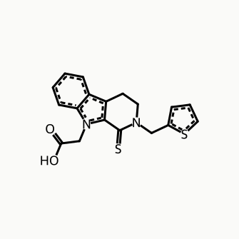 O=C(O)Cn1c2c(c3ccccc31)CCN(Cc1cccs1)C2=S